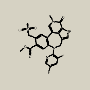 COC(=O)c1cc2c(cc1CS(C)(=O)=O)-c1cn(C)c(=O)c3[nH]cc(c13)CN2c1ncc(F)cc1F